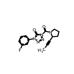 CC#CC1CCCN1C(=O)n1nnn(-c2cccc(F)c2)c1=O